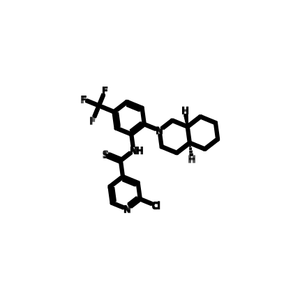 FC(F)(F)c1ccc(N2CC[C@@H]3CCCC[C@H]3C2)c(NC(=S)c2ccnc(Cl)c2)c1